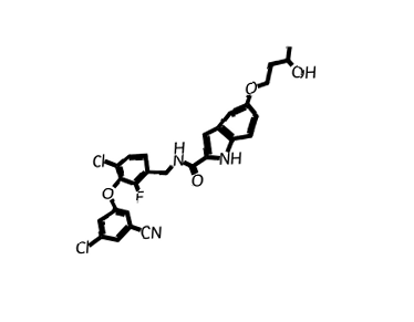 CC(O)CCOc1ccc2[nH]c(C(=O)NCc3ccc(Cl)c(Oc4cc(Cl)cc(C#N)c4)c3F)cc2c1